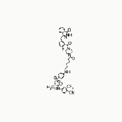 C[C@H](CS(=O)(=O)c1ccc(NCCCCCC(=O)N2CCN(C(=O)c3cc(Cc4n[nH]c(=O)c5ccccc45)ccc3F)CC2)cc1)C(=O)Nc1ccc(C#N)c(C(F)(F)F)c1